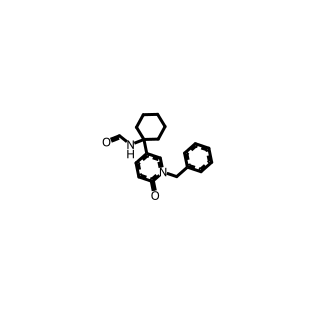 O=CNC1(c2ccc(=O)n(Cc3ccccc3)c2)CCCCC1